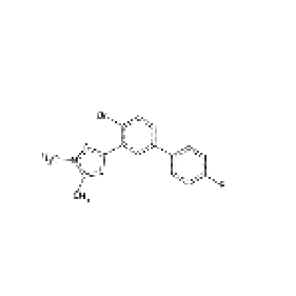 Cc1cc(-c2cc(-c3ccc(F)cc3)ccc2Br)nn1C